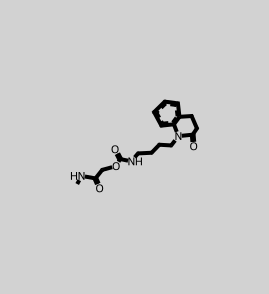 CNC(=O)COC(=O)NCCCCN1C(=O)CCc2ccccc21